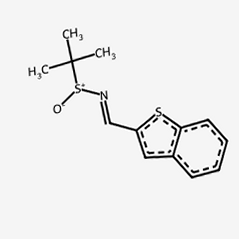 CC(C)(C)[S+]([O-])/N=C/c1cc2ccccc2s1